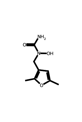 Cc1cc(CN(O)C(N)=O)c(C)o1